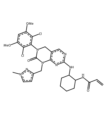 C=CC(=O)NC1CCCCC1Nc1ncc2c(n1)N(Cc1ccn(C)n1)C(=O)N(c1c(Cl)c(OC)cc(OC)c1Cl)C2